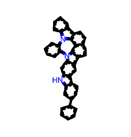 c1ccc(-c2ccc3c(c2)[nH]c2cc4c(cc23)c2ccc3ccc5c6ccccc6n6c7ccccc7n4c2c3c56)cc1